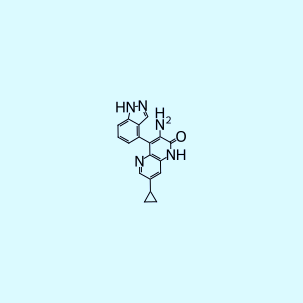 Nc1c(-c2cccc3[nH]ncc23)c2ncc(C3CC3)cc2[nH]c1=O